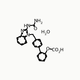 NC(=O)Nc1nc2ccccc2n1Cc1ccc(-c2ccccc2OC(=O)O)cc1.O